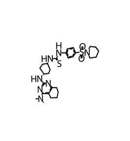 CN(C)c1nc(N[C@H]2CC[C@@H](NC(=S)Nc3ccc(S(=O)(=O)N4CCCCC4)cc3)CC2)nc2c1CCCC2